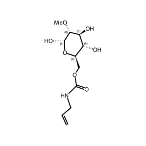 C=CCNC(=O)OC[C@H]1O[C@H](O)[C@H](OC)[C@@H](O)[C@@H]1O